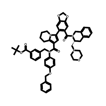 CC(C)(C)OC(=O)c1cccc(CN(C(=O)c2cc(-c3cc4c(cc3C(=O)N3Cc5ccccc5C[C@@H]3CN3CCOCC3)OCO4)n3c2CCCC3)c2ccc(OCc3ccccc3)cc2)c1